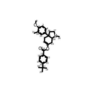 COc1ccc(C23CC=C(OC(=O)c4ccc(C(C)(C)C)cc4)CC2N(C)CC3)cc1C